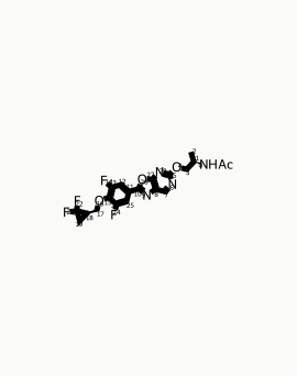 CC(=O)N[C@@H](C)COc1ncc2nc(-c3cc(F)c(OC[C@H]4CC4(F)F)c(F)c3)oc2n1